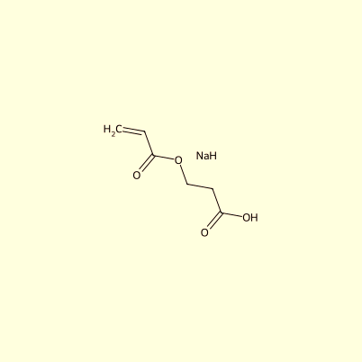 C=CC(=O)OCCC(=O)O.[NaH]